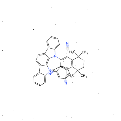 CC1(C)CCC(C)(C)c2c(C#N)c(-n3c4ccccc4c4ccc5c6ccccc6n(-c6ccccc6)c5c43)c(C#N)c(C#N)c21